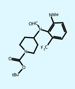 CNc1cccc(C(F)(F)F)c1N(C=O)C1CCN(C(=O)OC(C)(C)C)CC1